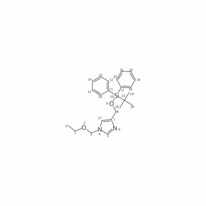 CCOCn1cnc(CO[Si](c2ccccc2)(c2ccccc2)C(C)(C)C)c1